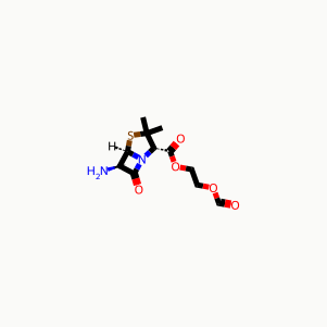 CC1(C)S[C@@H]2[C@H](N)C(=O)N2[C@H]1C(=O)OCCOC=O